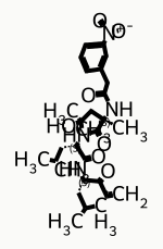 C=[C]C(=O)[C@H](CC(C)C)NC(=O)[C@H](CC(C)C)NC(=O)[C@](C)(CC(C)(C)O)NC(=O)Cc1cccc([N+](=O)[O-])c1